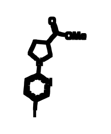 COC(=O)C1CCN(c2ccc(I)cn2)C1